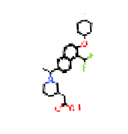 C[C@@H](c1ccc2c(C(F)F)c(O[C@H]3CC[C@@H](C)CC3)ccc2c1)N1CCC[C@H](CC(=O)O)C1